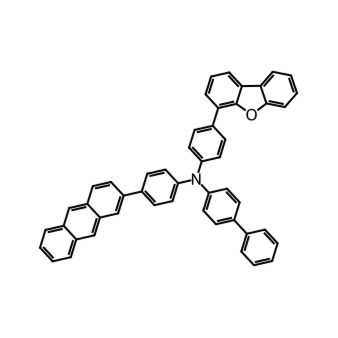 c1ccc(-c2ccc(N(c3ccc(-c4ccc5cc6ccccc6cc5c4)cc3)c3ccc(-c4cccc5c4oc4ccccc45)cc3)cc2)cc1